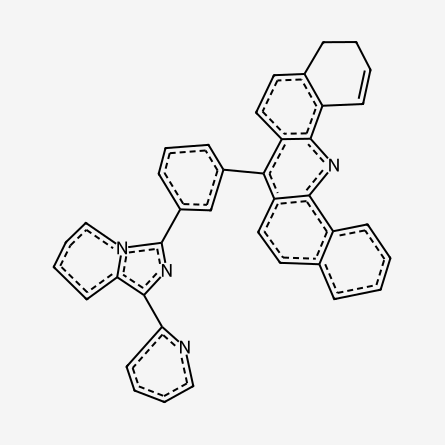 C1=Cc2c(ccc3c(-c4cccc(-c5nc(-c6ccccn6)c6ccccn56)c4)c4ccc5ccccc5c4nc23)CC1